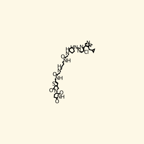 Cn1ncc(-c2nc(N[C@H]3CC[C@H](NCC(=O)NCCCCNCC(=O)NCc4cc5c(s4)C(=O)N(C4CCC(=O)NC4=O)C5)CC3)ncc2Cl)c1CC1CC1